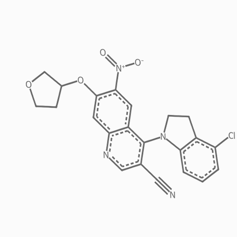 N#Cc1cnc2cc(OC3CCOC3)c([N+](=O)[O-])cc2c1N1CCc2c(Cl)cccc21